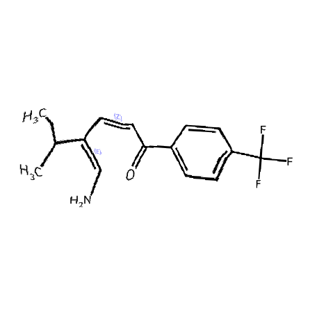 CC(C)C(/C=C\C(=O)c1ccc(C(F)(F)F)cc1)=C\N